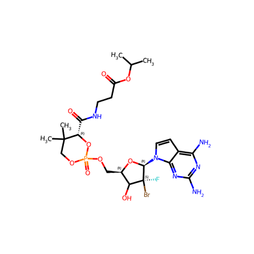 CC(C)OC(=O)CCNC(=O)[C@@H]1OP(=O)(OC[C@H]2O[C@@H](n3ccc4c(N)nc(N)nc43)[C@@](F)(Br)C2O)OCC1(C)C